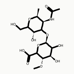 CO[C@@H]1C(C(=O)O)O[C@@H](OC2[C@H](O)C(CO)O[C@@H](C)[C@H]2NC(C)=O)C(O)[C@H]1O